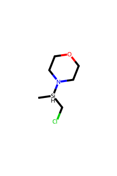 C[SiH](CCl)N1CCOCC1